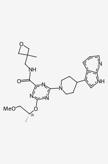 COC[C@@H](C)Oc1nc(C(=O)NCC2(C)COC2)nc(N2CCC(c3c[nH]c4ncccc34)CC2)n1